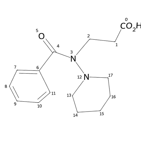 O=C(O)CCN(C(=O)c1ccccc1)N1CCCCC1